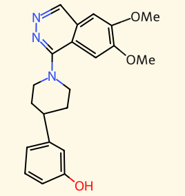 COc1cc2cnnc(N3CCC(c4cccc(O)c4)CC3)c2cc1OC